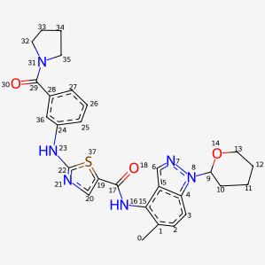 Cc1ccc2c(cnn2C2CCCCO2)c1NC(=O)c1cnc(Nc2cccc(C(=O)N3CCCC3)c2)s1